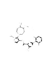 CCn1ncc(NC(=O)c2nc(-c3c(F)cccc3F)sc2N)c1N1CCC(N)C(OC)CC1